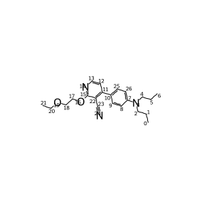 CCCN(CCC)c1ccc(-c2ccnc(OCCOCC)c2C#N)cc1